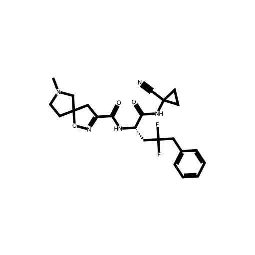 CN1CCC2(CC(C(=O)N[C@@H](CC(F)(F)Cc3ccccc3)C(=O)NC3(C#N)CC3)=NO2)C1